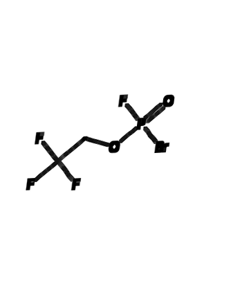 O=P(F)(Br)OCC(F)(F)F